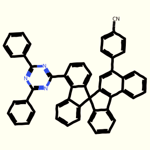 N#Cc1ccc(-c2cc3c(c4ccccc24)-c2ccccc2C32c3ccccc3-c3c(-c4nc(-c5ccccc5)nc(-c5ccccc5)n4)cccc32)cc1